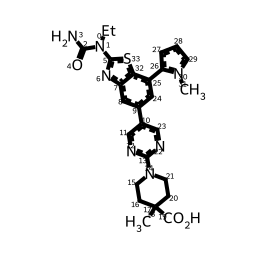 CCN(C(N)=O)c1nc2cc(-c3cnc(N4CCC(C)(C(=O)O)CC4)nc3)cc(-c3cccn3C)c2s1